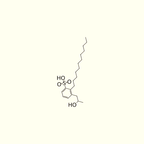 CCCCCCCCCCCCc1c(CC(C)O)cccc1S(=O)(=O)O